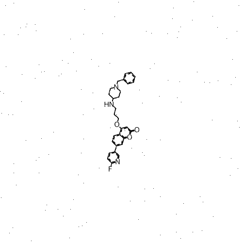 O=c1cc(OCCCNC2CCN(Cc3ccccc3)CC2)c2ccc(-c3ccc(F)nc3)cc2o1